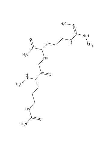 C/N=C(/NC)NCCC[C@H](NCC(=O)[C@H](CCCNC(N)=O)NC)C(C)=O